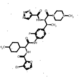 CCc1ccoc1C(=O)N[C@H](C(=O)Nc1ccc([C@H](C)[C@@H](NC(=O)c2cnns2)C(=O)N2CCN(C)CC2)cc1F)C1CCC(C)CC1